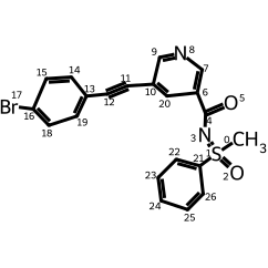 CS(=O)(=NC(=O)c1cncc(C#Cc2ccc(Br)cc2)c1)c1ccccc1